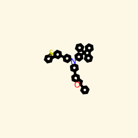 c1ccc(-c2cc3cc(-c4ccc(N(c5ccc(-c6ccc7sc8ccccc8c7c6)cc5)c5ccc(C6(c7ccccc7)c7ccccc7-c7ccccc76)cc5)cc4)ccc3o2)cc1